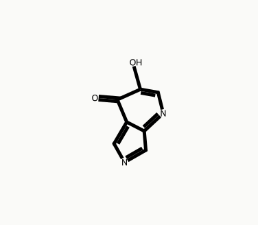 O=C1C(O)=CN=C2C=NC=C12